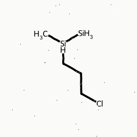 C[SiH]([SiH3])CCCCl